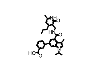 CCCc1cc(C)[nH]c(=O)c1CNC(=O)c1cc(-c2cccc(C(=O)O)c2)cc2c1c(C)cn2C(C)C